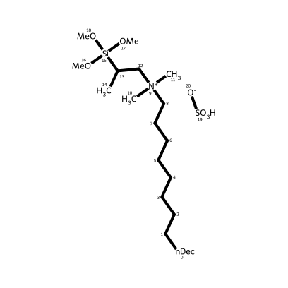 CCCCCCCCCCCCCCCCCC[N+](C)(C)CC(C)[Si](OC)(OC)OC.O=S(=O)([O-])O